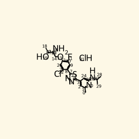 Cc1cc(-c2nnc(-c3cc(F)c(OC[C@H](N)[C@H](C)O)cc3Cl)s2)cc(NC(C)C)n1.Cl